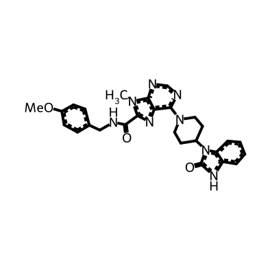 COc1ccc(CNC(=O)c2nc3c(N4CCC(n5c(=O)[nH]c6ccccc65)CC4)ncnc3n2C)cc1